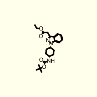 CCOC(=O)Cc1nn([C@H]2CC[C@@H](NC(=O)OC(C)(C)C)CC2)c2ccccc12